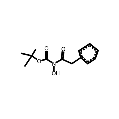 CC(C)(C)OC(=O)N(O)C(=O)Cc1ccccc1